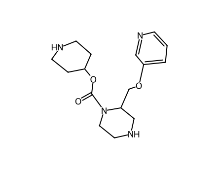 O=C(OC1CCNCC1)N1CCNCC1COc1cccnc1